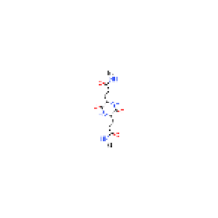 CCNC(=O)CCC1NC(=O)C(CCC(=O)NCC)NC1=O